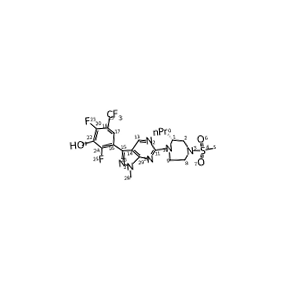 CCC[C@@H]1CN(S(C)(=O)=O)CCN1c1ncc2c(-c3cc(C(F)(F)F)c(F)c(O)c3F)nn(C)c2n1